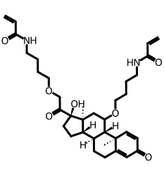 C=CC(=O)NCCCCOCC(=O)[C@@]1(O)CC[C@H]2[C@@H]3CCC4=CC(=O)C=C[C@]4(C)[C@H]3C(OCCCCNC(=O)C=C)C[C@@]21C